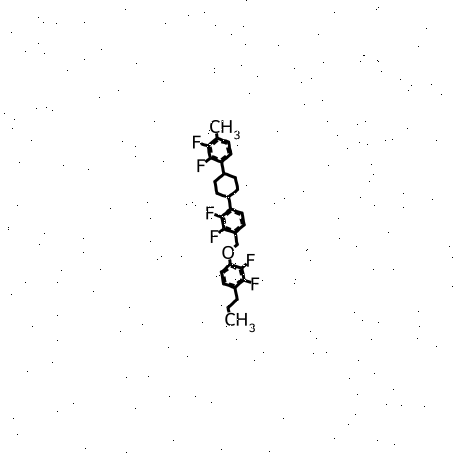 CCCc1ccc(OCc2ccc(C3CCC(c4ccc(C)c(F)c4F)CC3)c(F)c2F)c(F)c1F